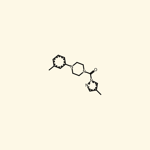 Cc1cccc(N2CCN(C(=O)n3cc(C)cn3)CC2)c1